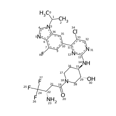 CC(C)n1cnc2c(F)cc(-c3nc(N[C@@H]4CCN(C(=O)C[C@H](N)C(F)(F)F)C[C@H]4O)ncc3Cl)cc21